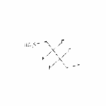 O=S(=O)(O)CC(F)(F)C(F)(F)CF